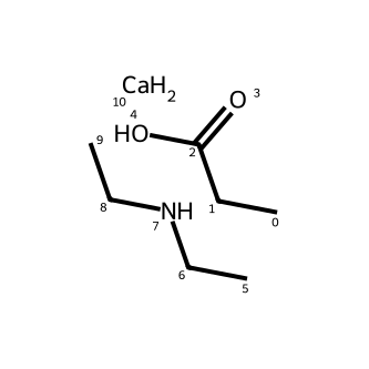 CCC(=O)O.CCNCC.[CaH2]